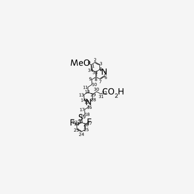 COc1ccc2nccc(CCCC3CCN(CCCSc4c(F)cccc4F)CC3CCC(=O)O)c2c1